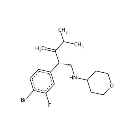 C=C(C(C)C)[C@H](CNC1CCOCC1)c1ccc(Br)c(F)c1